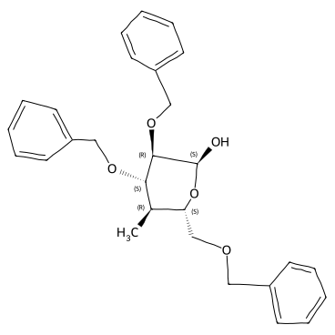 C[C@H]1[C@H](OCc2ccccc2)[C@@H](OCc2ccccc2)[C@@H](O)O[C@@H]1COCc1ccccc1